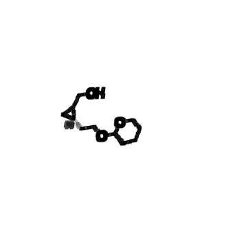 OCC1C[C@H]1CCOC1CCCCO1